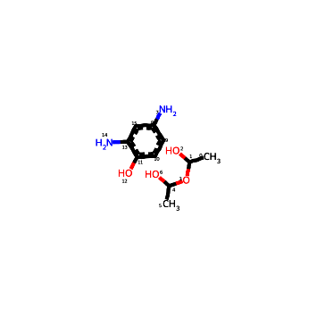 CC(O)OC(C)O.Nc1ccc(O)c(N)c1